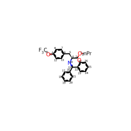 CCCOC(=O)[C@H](Cc1ccc(OC(F)(F)F)cc1)N=C(c1ccccc1)c1ccccc1